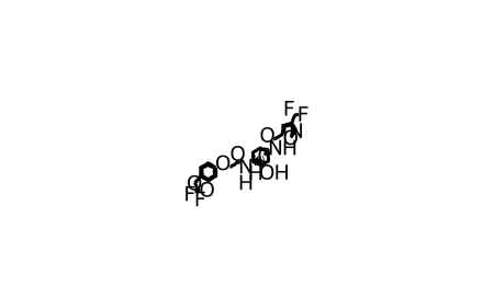 O=C(COc1ccc2c(c1)OC(F)(F)O2)NC12CCC(NC(=O)c3cc(C(F)F)no3)(CC1)C[C@@H]2O